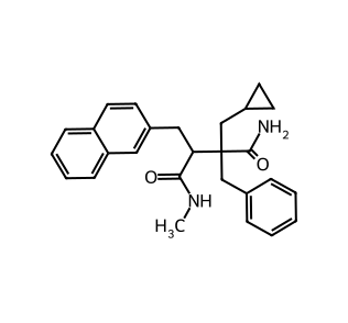 CNC(=O)C(Cc1ccc2ccccc2c1)C(Cc1ccccc1)(CC1CC1)C(N)=O